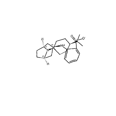 CC(C)[C@H]1CC[C@@H](N2[C@@H]3CC[C@H]2C[C@@H](Nc2ccccc2[N+](=O)[O-])C3)CC1